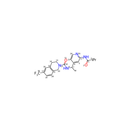 CC(C)C(=O)Nc1cc(C(C)NC(=O)N2CCc3cc(C(F)(F)F)ccc3C2)ccn1